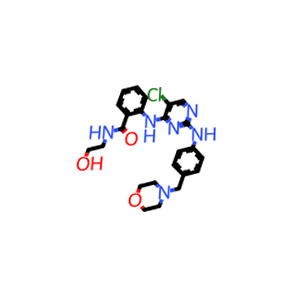 O=C(NCCO)c1ccccc1Nc1nc(Nc2ccc(CN3CCOCC3)cc2)ncc1Cl